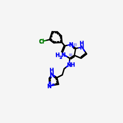 C=C(/N=C1/NC=C/C1=C(/N)NCCc1cnc[nH]1)c1cccc(Cl)c1